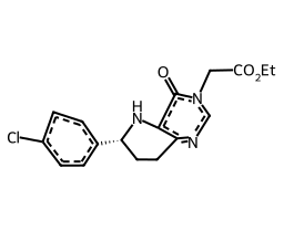 CCOC(=O)Cn1cnc2c(c1=O)N[C@@H](c1ccc(Cl)cc1)CC2